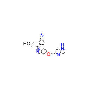 CN(C)Cc1cccc(C(CC(=O)O)n2ncc3cc(OCCc4ccc5c(n4)CCCN5)ccc32)c1